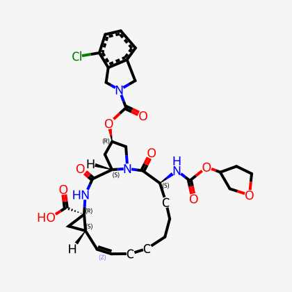 O=C(N[C@H]1CCCCC/C=C\[C@@H]2C[C@@]2(C(=O)O)NC(=O)[C@@H]2C[C@@H](OC(=O)N3Cc4cccc(Cl)c4C3)CN2C1=O)OC1CCOC1